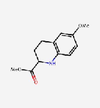 COC(=O)C1CCc2cc(OC)ccc2N1